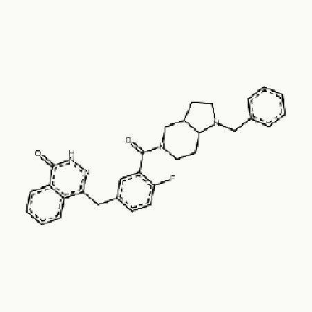 O=C(c1cc(Cc2n[nH]c(=O)c3ccccc23)ccc1F)N1CCC2C(CCN2Cc2ccccc2)C1